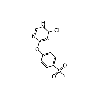 CS(=O)(=O)c1ccc(OC2=[C]C(Cl)NC=N2)cc1